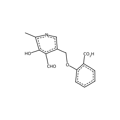 Cc1ncc(COc2ccccc2C(=O)O)c(C=O)c1O